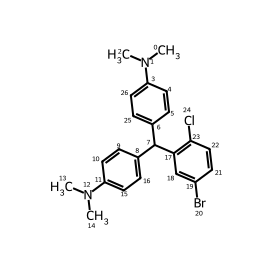 CN(C)c1ccc(C(c2ccc(N(C)C)cc2)c2cc(Br)ccc2Cl)cc1